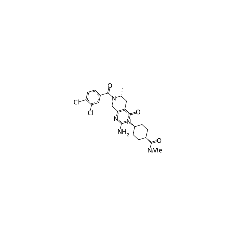 CNC(=O)[C@H]1CC[C@@H](n2c(N)nc3c(c2=O)C[C@@H](C)N(C(=O)c2ccc(Cl)c(Cl)c2)C3)CC1